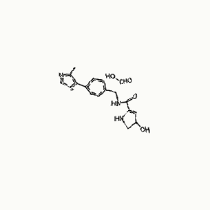 Cc1ncsc1-c1ccc(CNC(=O)C2=CC(O)CN2)cc1.O=CO